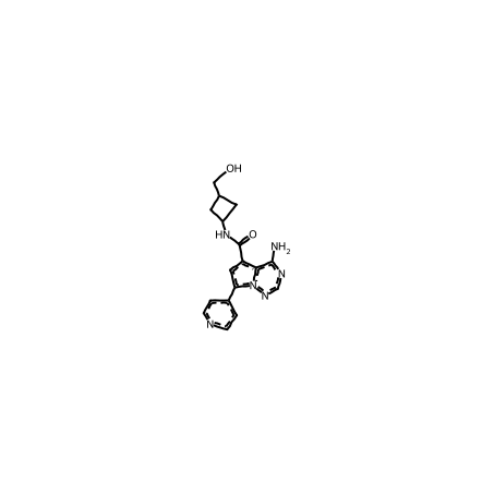 Nc1ncnn2c(-c3ccncc3)cc(C(=O)NC3CC(CO)C3)c12